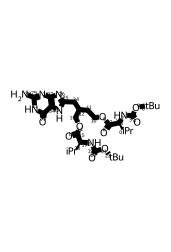 CC(C)[C@H](NC(=O)OC(C)(C)C)C(=O)OCCC(COC(=O)[C@@H](NC(=O)OC(C)(C)C)C(C)C)Cc1nc2nc(N)[nH]c(=O)c2[nH]1